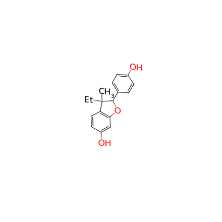 CCC1(C)c2ccc(O)cc2OC1c1ccc(O)cc1